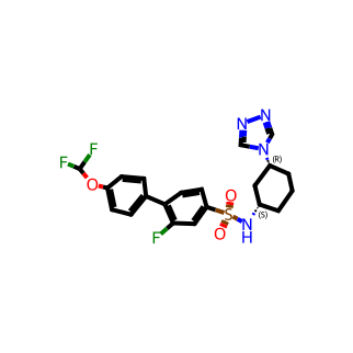 O=S(=O)(N[C@H]1CCC[C@@H](n2cnnc2)C1)c1ccc(-c2ccc(OC(F)F)cc2)c(F)c1